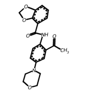 CC(=O)c1cc(N2CCOCC2)ccc1NC(=O)c1cccc2c1OCO2